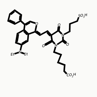 CCN(CC)c1ccc2c(c1)C(=CC=C1C(=O)N(CCCCCC(=O)O)C(=O)N(CCCS(=O)(=O)O)C1=O)OC=C2c1ccccc1